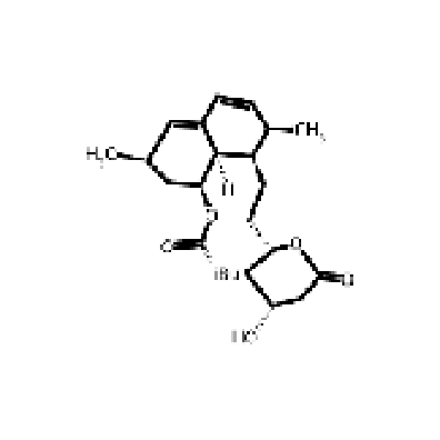 CC[C@@H](C)C(=O)O[C@H]1C[C@@H](C)C=C2C=C[C@@H](C)[C@@H](CC[C@H]3C[C@@H](O)CC(=O)O3)[C@H]21